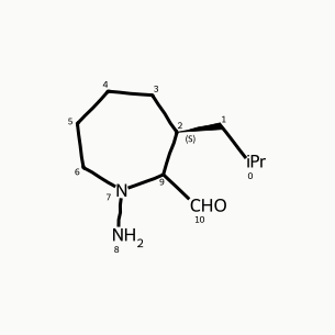 CC(C)C[C@@H]1CCCCN(N)C1C=O